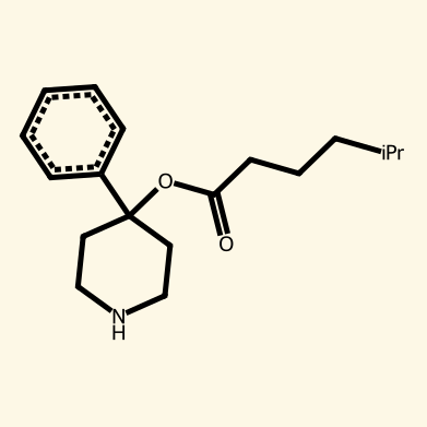 CC(C)CCCC(=O)OC1(c2ccccc2)CCNCC1